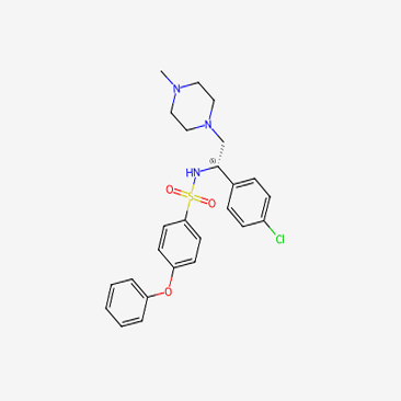 CN1CCN(C[C@@H](NS(=O)(=O)c2ccc(Oc3ccccc3)cc2)c2ccc(Cl)cc2)CC1